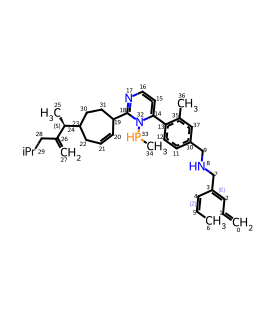 C=C/C=C(\C=C/C)CNCc1ccc(C2=C=CN=C(C3C=CCC([C@H](C)C(=C)CC(C)C)CC3)N2PC)c(C)c1